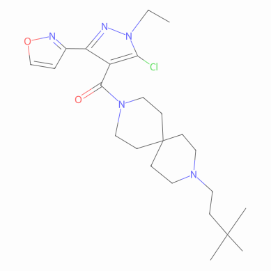 CCn1nc(-c2ccon2)c(C(=O)N2CCC3(CCN(CCC(C)(C)C)CC3)CC2)c1Cl